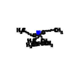 CCCCCCCCc1ccc(C2=C(CCCC)C(CCCC)=C(c3ccc(CCCCCCCC)cc3)[N+]2=[N-])cc1.Cc1cc[c]([Ni][c]2ccc(C)cc2)cc1